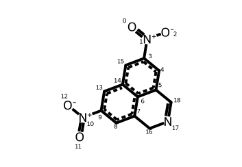 O=[N+]([O-])c1cc2c3c(cc([N+](=O)[O-])cc3c1)CN=C2